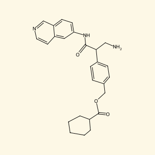 NCC(C(=O)Nc1ccc2cnccc2c1)c1ccc(COC(=O)C2CCCCC2)cc1